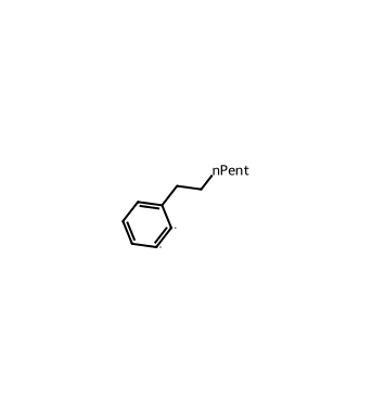 CCCCCCCc1[c][c]ccc1